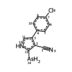 N#Cc1c(-c2ccc(Cl)cc2)c[nH]c1[AsH2]